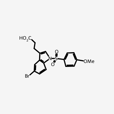 COc1ccc(S(=O)(=O)n2cc(CCC(=O)O)c3cc(Br)ccc32)cc1